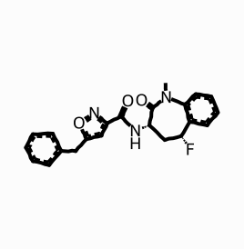 CN1C(=O)[C@@H](NC(=O)c2cc(Cc3ccccc3)on2)C[C@@H](F)c2ccccc21